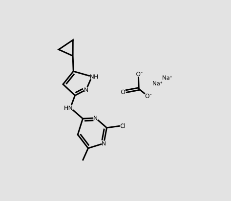 Cc1cc(Nc2cc(C3CC3)[nH]n2)nc(Cl)n1.O=C([O-])[O-].[Na+].[Na+]